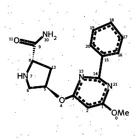 COc1cc(O[C@H]2CN[C@H](C(N)=O)C2)nc(-c2ccccc2)n1